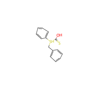 OC(=S)[SH](Cc1ccccc1)c1ccccc1